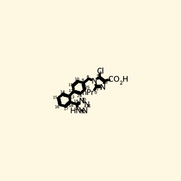 CCCc1nc(C(=O)O)c(Cl)n1Cc1ccc(-c2ccccc2-c2nnn[nH]2)cc1